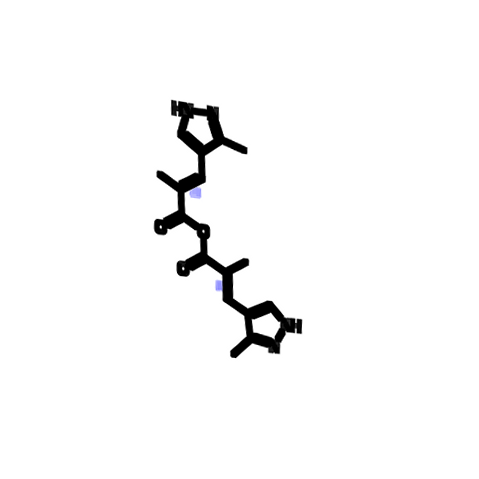 C/C(=C\c1c[nH]nc1C)C(=O)OC(=O)/C(C)=C/c1c[nH]nc1C